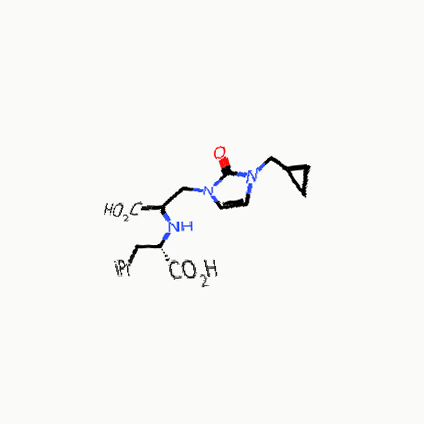 CC(C)C[C@H](NC(Cn1ccn(CC2CC2)c1=O)C(=O)O)C(=O)O